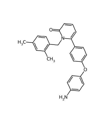 Cc1ccc(Cn2c(-c3ccc(Oc4ccc(N)cc4)cc3)cccc2=O)c(C)c1